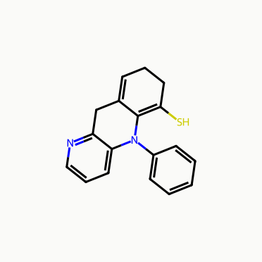 SC1=C2C(=CCC1)Cc1ncccc1N2c1ccccc1